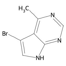 Cc1ncnc2[nH]cc(Br)c12